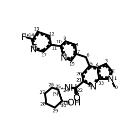 Cn1ccc2c(Cc3ccc(-c4ccc(F)nc4)nc3)cc(C(=O)N[C@H]3CCCC[C@@H]3O)nc21